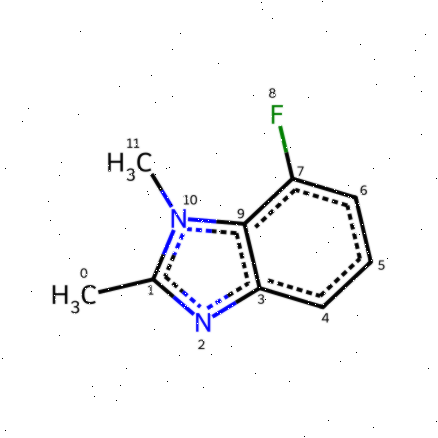 Cc1nc2cccc(F)c2n1C